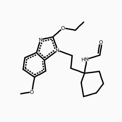 CCOc1nc2ccc(OC)cc2n1CCC1(NC=O)CCCCC1